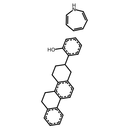 C1=CC=CNC=C1.Oc1ccccc1C1CCc2c(ccc3c2CCc2ccccc2-3)C1